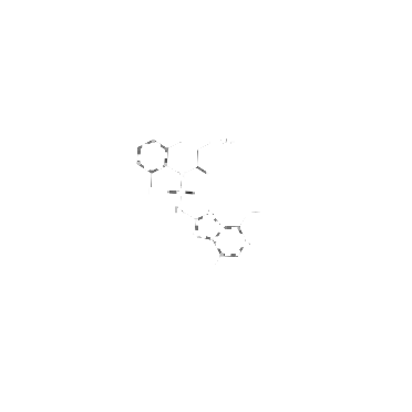 CCOc1ncc(F)c2nc(NS(=O)(=O)N(C(=O)COC)c3c(F)cccc3F)nn12